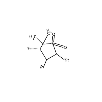 CC(C)C1C(C(C)C)S(=O)(=O)C(C)(C)[C@H]1F